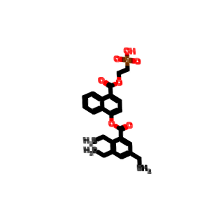 BCc1cc(CB)c(CB)c(C(=O)Oc2ccc(C(=O)OCCS(=O)(=O)O)c3ccccc23)c1